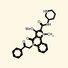 COc1c(C(=O)NC2CCCNC2)n(C)c2c1c(=O)n(CC(=O)c1ccccc1)c1ccccc21